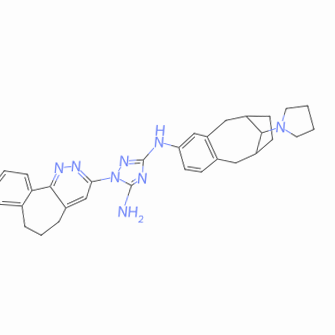 Nc1nc(Nc2ccc3c(c2)CC2CCC(C3)C2N2CCCC2)nn1-c1cc2c(nn1)-c1ccccc1CCC2